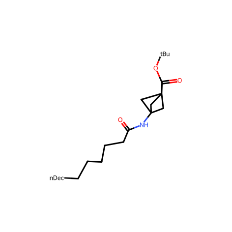 CCCCCCCCCCCCCCCC(=O)NC12CC(C(=O)OC(C)(C)C)(C1)C2